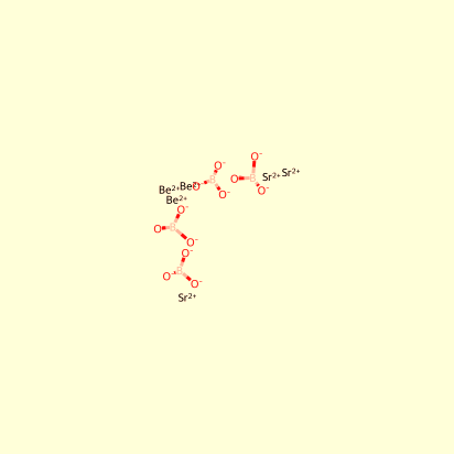 [Be+2].[Be+2].[Be+2].[O-]B([O-])[O-].[O-]B([O-])[O-].[O-]B([O-])[O-].[O-]B([O-])[O-].[Sr+2].[Sr+2].[Sr+2]